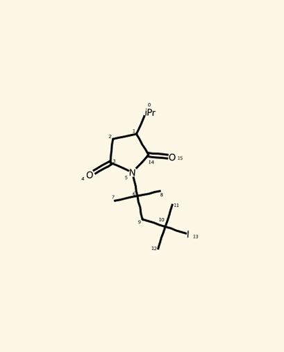 CC(C)C1CC(=O)N(C(C)(C)CC(C)(C)I)C1=O